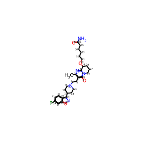 Cc1nc2n(c(=O)c1CCN1CCC(c3noc4cc(F)ccc34)CC1)CCCC2OCCCCCC(N)=O